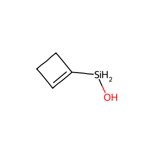 O[SiH2]C1=CCC1